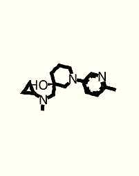 Cc1ccc(N2CCC[C@@](O)(CN(C)C3CC3)C2)cn1